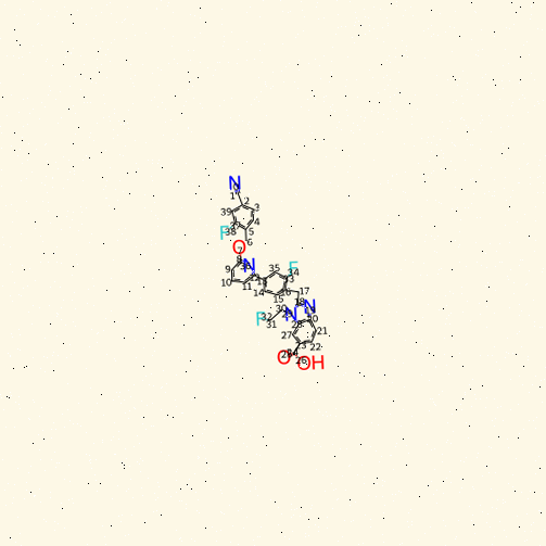 N#Cc1ccc(COc2cccc(-c3ccc(Cc4nc5ccc(C(=O)O)cc5n4CCF)c(F)c3)n2)c(F)c1